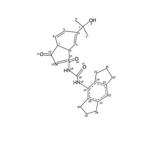 CC(C)(O)C1=CC2C(C=C1)C(=O)N=S2(=O)NC(=O)Nc1c2c(cc3c1CCC3)CCC2